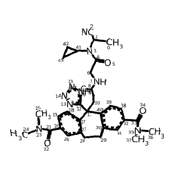 CC(C#N)N(C(=O)CN[C@H](C)CC1(c2nnn[nH]2)c2ccc(C(=O)N(C)C)cc2CCc2cc(C(=O)N(C)C)ccc21)C1CC1